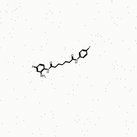 Nc1cc(F)ccc1NC(=O)CCCCCC(=O)Nc1ccc(F)cc1